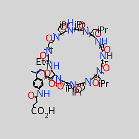 CC[C@@H]1NC(=O)C([C@H](O)[C@H](C)C/C=C(/C)c2ccc(NC(=O)CCC(=O)O)cc2)N(C)C(=O)[C@H](C(C)C)N(C)C(=O)[C@H](CC(C)C)N(C)C(=O)[C@H](CC(C)C)N(C)C(=O)[C@H](C)NC(=O)[C@H](C)NC(=O)[C@H](CC(C)C)N(C)C(=O)[C@H](C(C)C)NC(=O)[C@H](CC(C)C)N(C)C(=O)CN(C)C1=O